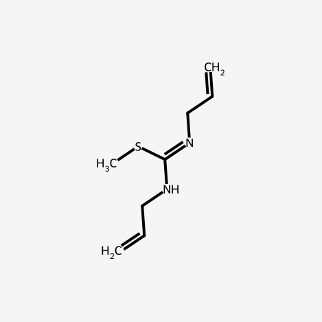 C=CCN=C(NCC=C)SC